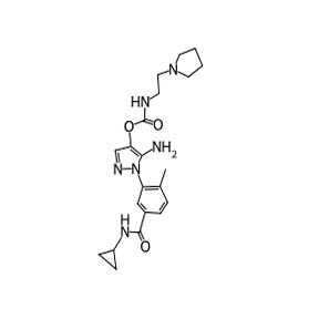 Cc1ccc(C(=O)NC2CC2)cc1-n1ncc(OC(=O)NCCN2CCCC2)c1N